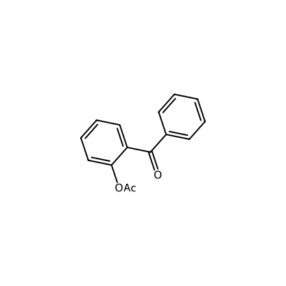 CC(=O)Oc1ccccc1C(=O)c1ccccc1